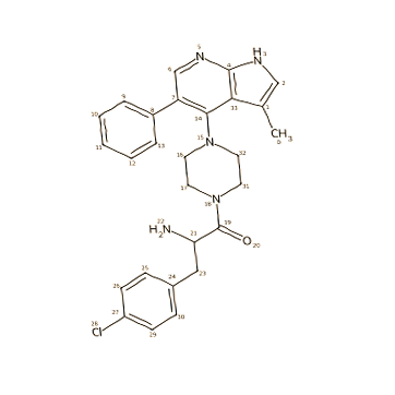 Cc1c[nH]c2ncc(-c3ccccc3)c(N3CCN(C(=O)C(N)Cc4ccc(Cl)cc4)CC3)c12